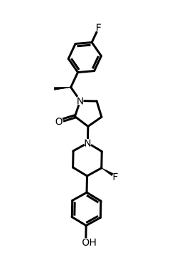 C[C@@H](c1ccc(F)cc1)N1CCC(N2CCC(c3ccc(O)cc3)[C@H](F)C2)C1=O